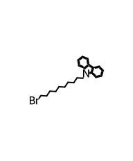 BrCCCCCCCCCCn1c2ccccc2c2ccccc21